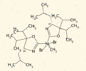 [CH2]=[Ni]([Br])([Br])([C]1=N[C@H](CC(C)C)C(C(C)C)(C(C)C)O1)[C]1=N[C@H](CC(C)C)C(C(C)C)(C(C)C)O1